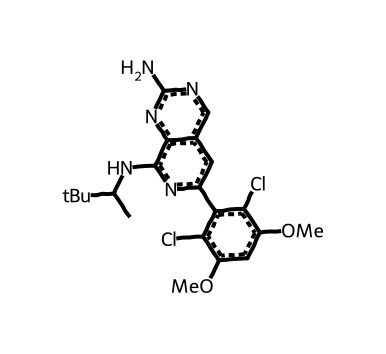 COc1cc(OC)c(Cl)c(-c2cc3cnc(N)nc3c(NC(C)C(C)(C)C)n2)c1Cl